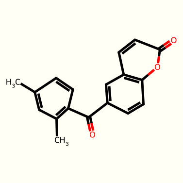 Cc1ccc(C(=O)c2ccc3oc(=O)ccc3c2)c(C)c1